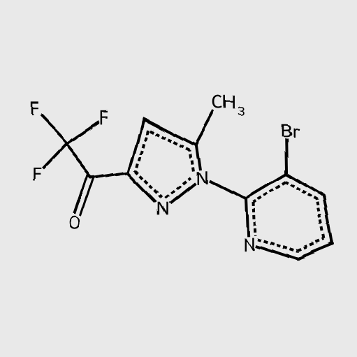 Cc1cc(C(=O)C(F)(F)F)nn1-c1ncccc1Br